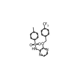 Cc1ccc(S(=O)(=O)Nc2nccnc2OCc2ccc(C(F)(F)F)cc2)cc1